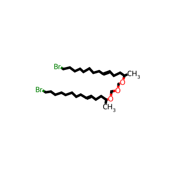 CC(CCC=CCCCCCCCCBr)OCOCOC(C)CCC=CCCCCCCCCBr